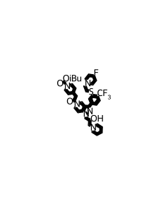 CC(C)COC(=O)N1CCC(CC(=O)N2CCc3c(c(-c4ccc(C(F)(F)F)c(SCCN5CCC(F)CC5)c4)nn3CC(O)CN3CCCCC3)C2)CC1